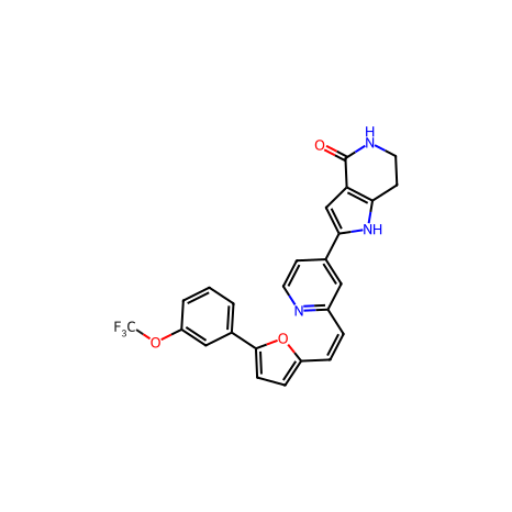 O=C1NCCc2[nH]c(-c3ccnc(/C=C\c4ccc(-c5cccc(OC(F)(F)F)c5)o4)c3)cc21